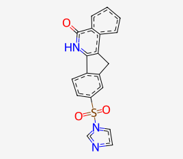 O=c1[nH]c2c(c3ccccc13)Cc1cc(S(=O)(=O)n3ccnc3)ccc1-2